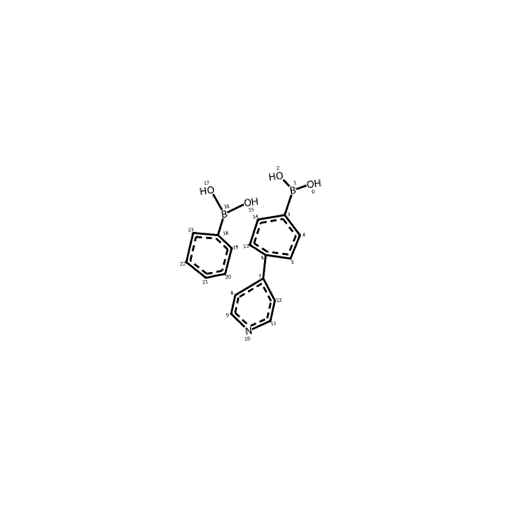 OB(O)c1ccc(-c2ccncc2)cc1.OB(O)c1ccccc1